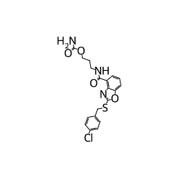 NC(=O)OCCCNC(=O)c1cccc2oc(SCc3ccc(Cl)cc3)nc12